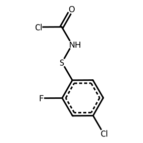 O=C(Cl)NSc1ccc(Cl)cc1F